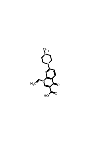 C=Cn1cc(C(=O)O)c(=O)c2ccc(N3CCN(C)CC3)nc21